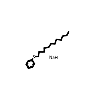 CCCCCCCCCCCCSc1ccccc1.[NaH]